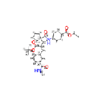 CCOC(=O)C1CCC(NC(=O)C2(CC(Cc3cccc(C(=O)NC)c3)C(=O)OC(C)(C)C)CCCC2)CC1